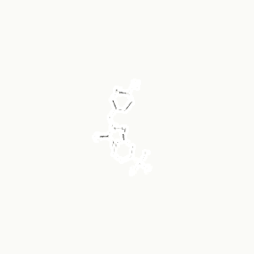 O=c1n(Cc2ccc(Cl)nc2)nc2n1CC[C@@H](C(F)(F)F)C2